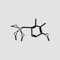 COc1ccc(C[Si](OC)(OC)OC)c(C)c1C